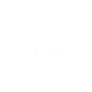 CONC(=O)c1nn(-c2ccc(I)cc2F)cc(C)c1=O